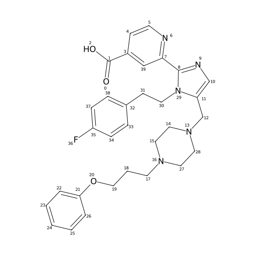 O=C(O)c1ccnc(-c2ncc(CN3CCN(CCCOc4ccccc4)CC3)n2CCc2ccc(F)cc2)c1